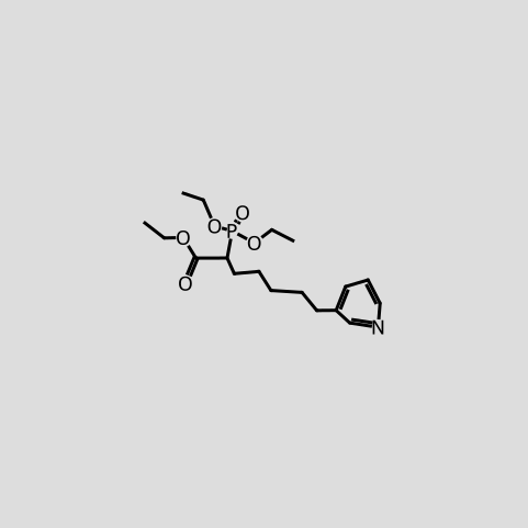 CCOC(=O)C(CCCCCc1cccnc1)P(=O)(OCC)OCC